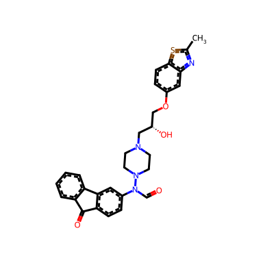 Cc1nc2cc(OC[C@H](O)CN3CCN(N(C=O)c4ccc5c(c4)-c4ccccc4C5=O)CC3)ccc2s1